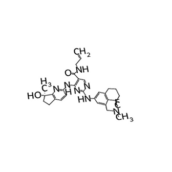 C=CCNC(=O)c1cnc(Nc2cc3c4c(c2)CN(C)C[C@]4(F)CCC3)nc1Nc1ccc2c(n1)[C@](C)(O)CC2